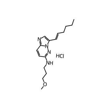 CCCC/C=C/c1cnc2ccc(NCCCOC)nn12.Cl